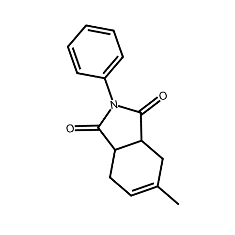 CC1=CCC2C(=O)N(c3ccccc3)C(=O)C2C1